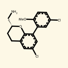 COc1ccc(Cl)cc1-c1cc(Cl)cc2c1O[C@@H](CN)CC2